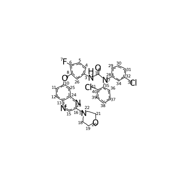 O=C(Nc1ccc(F)c(Oc2ccc3ncc(N4CCOCC4)nc3c2)c1)N(c1cccc(Cl)c1)c1cc[c]cc1Cl